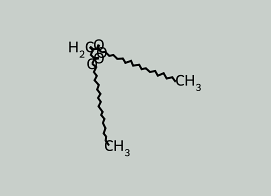 C=C(CC(=O)OCCCCCCCCCCCCCCCCCCC)C(=O)OCCCCCCCCCCCCCCCCCCC